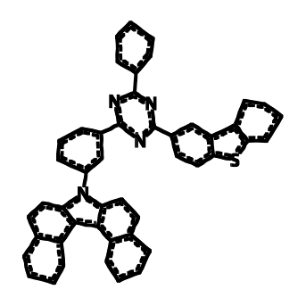 c1ccc(-c2nc(-c3cccc(-n4c5ccc6ccccc6c5c5c6ccccc6ccc54)c3)nc(-c3ccc4sc5ccccc5c4c3)n2)cc1